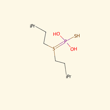 CC(C)CCS(CCC(C)C)=P(O)(O)S